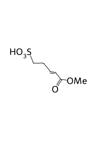 COC(=O)C=CCCS(=O)(=O)O